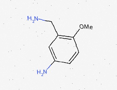 COc1ccc(N)cc1CN